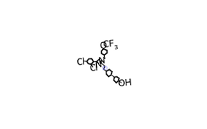 Oc1ccc(-c2ccc(/C=C/c3nc(-c4ccc(Cl)cc4Cl)cn3Cc3ccc(OC(F)(F)F)cc3)cc2)cc1